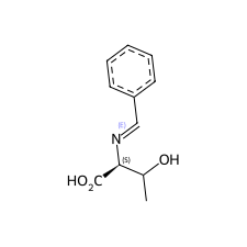 CC(O)[C@H](/N=C/c1ccccc1)C(=O)O